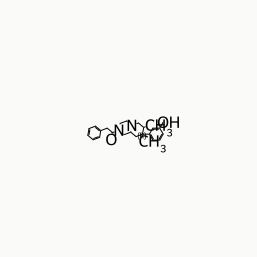 CC1CN2CCN(C(=O)Cc3ccccc3)CC2C[C@@]1(C)c1cccc(O)c1